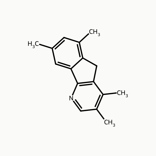 Cc1cc(C)c2c(c1)-c1ncc(C)c(C)c1C2